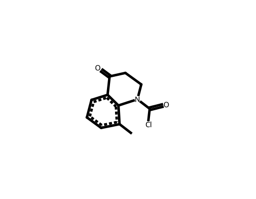 Cc1cccc2c1N(C(=O)Cl)CCC2=O